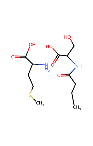 CCCC(=O)NC(CO)C(=O)O.CSCCC(N)C(=O)O